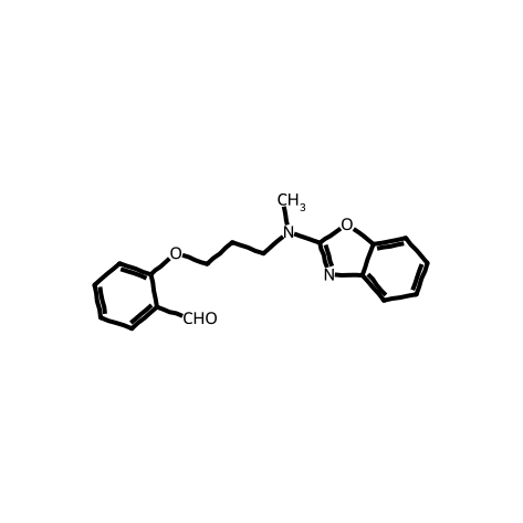 CN(CCCOc1ccccc1C=O)c1nc2ccccc2o1